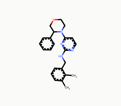 Cc1cccc(CNc2nccc(N3CCOCC3c3ccccc3)n2)c1C